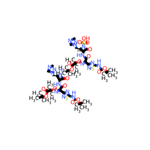 CC(C)(C)OC(=O)Nc1nc(/C(=N/OC(C)(C)C(=O)OC(C)(C)C)C(=O)N[C@@H]2C(=O)N(S(=O)(=O)O)[C@@H]2Cn2cncn2)ns1.CC(C)(C)OC(=O)Nc1nc(/C(=N/OC(C)(C)C(=O)OC(C)(C)C)C(=O)N[C@@H]2C(=O)N[C@@H]2Cn2cncn2)ns1